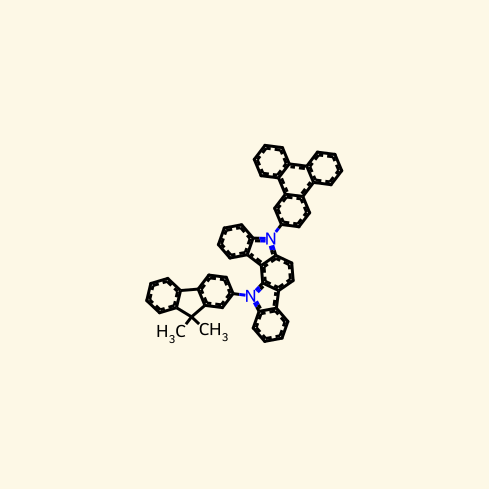 CC1(C)c2ccccc2-c2ccc(-n3c4ccccc4c4ccc5c(c6ccccc6n5-c5ccc6c7ccccc7c7ccccc7c6c5)c43)cc21